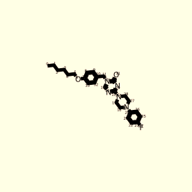 CCCCCCOc1ccc(Cn2cnc(N3CCN(c4ccc(F)cc4)CC3)nc2=O)cc1